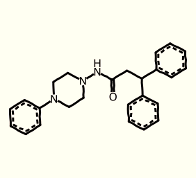 O=C(CC(c1ccccc1)c1ccccc1)NN1CCN(c2ccccc2)CC1